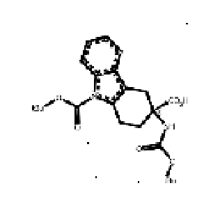 CC(C)(C)OC(=O)N[C@]1(C(=O)O)CCc2c(c3ccccc3n2C(=O)OC(C)(C)C)C1